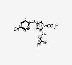 O=C(O)N1C[C@@H](Oc2ccc(Cl)cn2)C[C@H]1COC(F)F